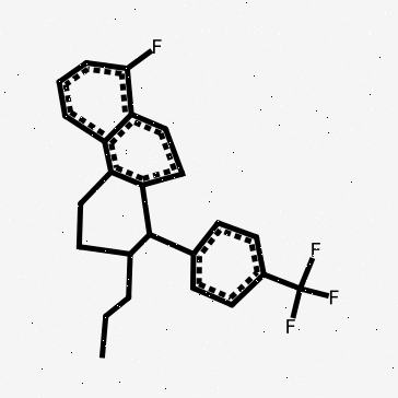 CCCC1CCc2c(ccc3c(F)cccc23)C1c1ccc(C(F)(F)F)cc1